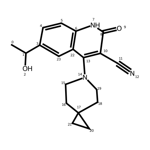 CC(O)c1ccc2[nH]c(=O)c(C#N)c(N3CCC4(CC3)CC4)c2c1